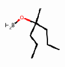 BOC(C)(CCC)CCC